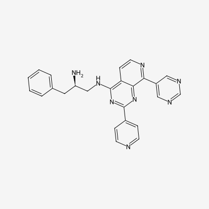 N[C@@H](CNc1nc(-c2ccncc2)nc2c(-c3cncnc3)nccc12)Cc1ccccc1